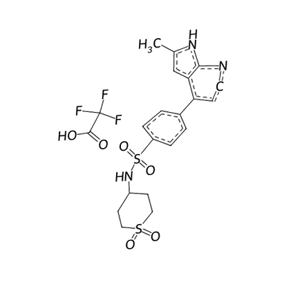 Cc1cc2c(-c3ccc(S(=O)(=O)NC4CCS(=O)(=O)CC4)cc3)ccnc2[nH]1.O=C(O)C(F)(F)F